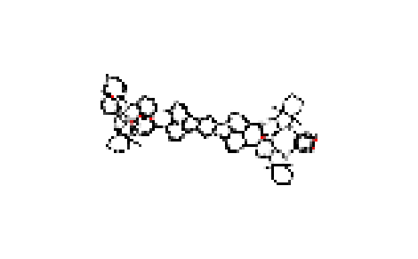 CC12CCCCC1(C)N(c1ccncc1)c1ccc(-c3ccc4c5cc6c(cc5c5ccc(-c7ccc8c(c7)C7(C)CCCCC7(C)N8c7ccncc7)c3c45)c3ccc(-c4ccc5c(c4)C4(C)CCCCC4(C)N5c4ccncc4)c4c(-c5ccc7c(c5)C5(C)CCCCC5(C)N7c5ccncc5)ccc6c43)cc12